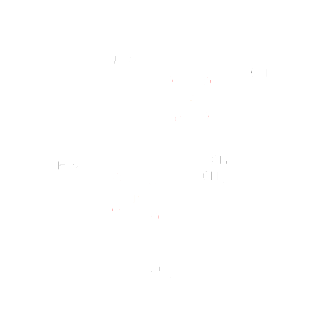 CCOP(=O)(OCC)OCC.CCOP(=O)(OCC)OCC